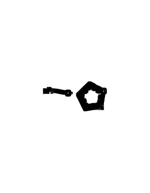 CCC[O].c1cnoc1